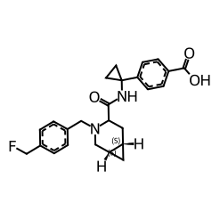 O=C(O)c1ccc(C2(NC(=O)C3C[C@@H]4C[C@@H]4CN3Cc3ccc(CF)cc3)CC2)cc1